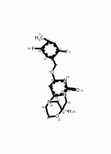 Cc1cc(F)c(COc2cc3n(c(=O)n2)C[C@@H]2CN3CCO2)cc1F